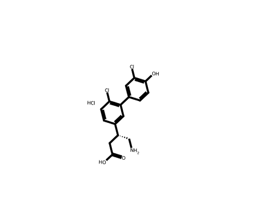 Cl.NC[C@H](CC(=O)O)c1ccc(Cl)c(-c2ccc(O)c(Cl)c2)c1